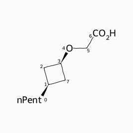 CCCCC[C@H]1C[C@@H](OCC(=O)O)C1